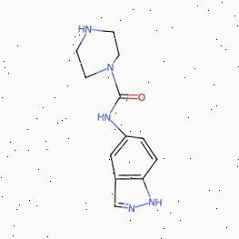 O=C(Nc1ccc2[nH]ncc2c1)N1CCNCC1